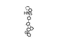 C1=Cc2ccc3c(c2CC1)NC(c1ccc(-c2ccc4c(c2)-c2cccc5c2c-4cc2oc4ccccc4c25)cc1)S3